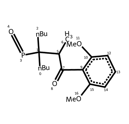 CCCCC(CCCC)(P=O)C(C)C(=O)c1c(OC)cccc1OC